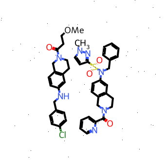 COCCC(=O)N1CCc2cc(NCc3ccc(Cl)cc3)ccc2C1.Cn1ccc(S(=O)(=O)N(Cc2ccccc2)c2ccc3c(c2)CCN(C(=O)c2ccccn2)C3)n1